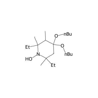 CCCCOC1(OCCCC)CC(C)(CC)N(O)C(C)(CC)C1C